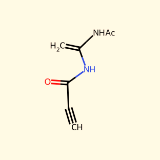 C#CC(=O)NC(=C)NC(C)=O